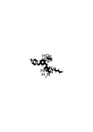 CCCCOc1nc(N)c2[nH]cc(Cc3cccc(CN4CCN(C)CC4)c3)c2n1.O=C(O)C(F)(F)F